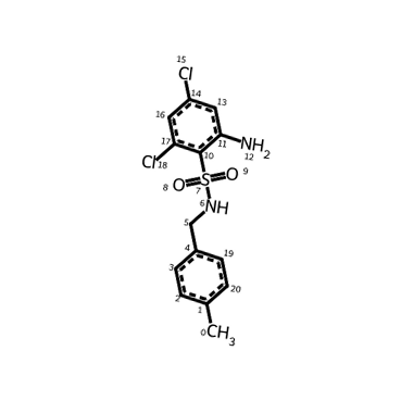 Cc1ccc(CNS(=O)(=O)c2c(N)cc(Cl)cc2Cl)cc1